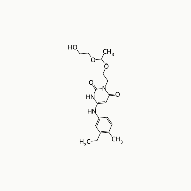 CCc1cc(Nc2cc(=O)n(CCOC(C)OCCO)c(=O)[nH]2)ccc1C